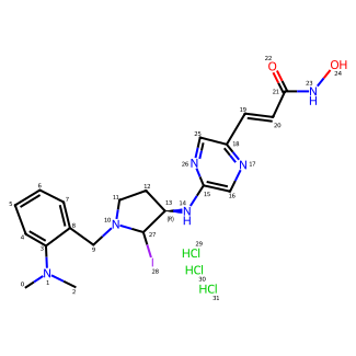 CN(C)c1ccccc1CN1CC[C@@H](Nc2cnc(C=CC(=O)NO)cn2)C1I.Cl.Cl.Cl